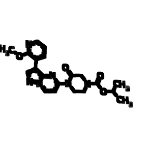 COc1ncccc1-c1cnn2ccc(N3CCN(C(=O)OC(C)C)CC3=O)nc12